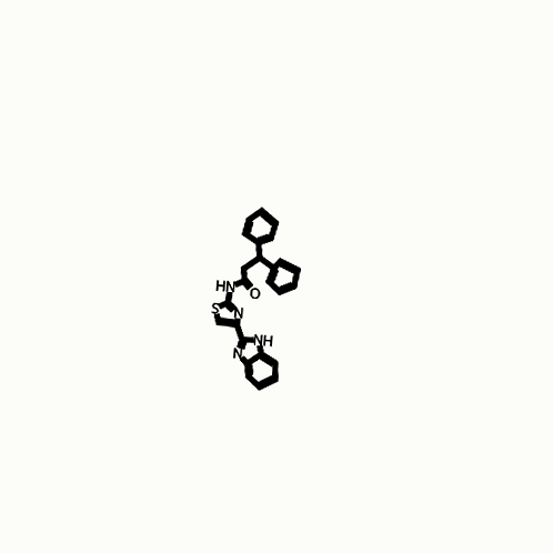 O=C(CC(c1ccccc1)c1ccccc1)Nc1nc(-c2nc3ccccc3[nH]2)cs1